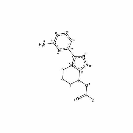 CC(=O)OC1CCCn2c(-c3cccc(N)n3)nnc21